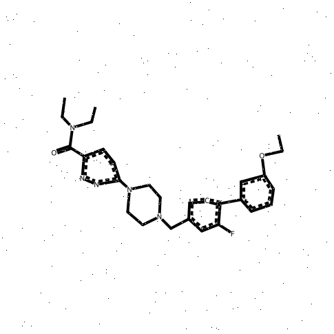 CCOc1cccc(-c2ccc(CN3CCN(c4ccc(C(=O)N(CC)CC)nn4)CC3)cc2F)c1